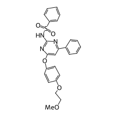 COCCOc1ccc(Oc2cc(-c3ccccc3)nc(NS(=O)(=O)c3ccccc3)n2)cc1